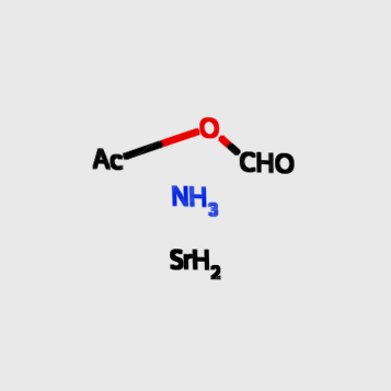 CC(=O)OC=O.N.[SrH2]